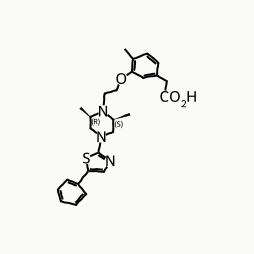 Cc1ccc(CC(=O)O)cc1OCCN1[C@H](C)CN(c2ncc(-c3ccccc3)s2)C[C@@H]1C